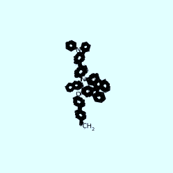 C=Cc1ccc(-c2ccc(Oc3ccc(C4(c5ccccc5)c5ccccc5-c5ccc(N(c6ccc(-c7ccc8c(c7)c7ccccc7n8-c7ccccc7)cc6)c6ccc7ccccc7c6)cc54)cc3)cc2)cc1